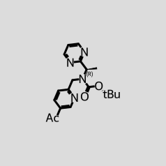 CC(=O)c1ccc(CN(C(=O)OC(C)(C)C)[C@H](C)c2ncccn2)nc1